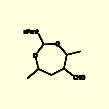 CCCCCC1OC(C)CC(C=O)C(C)O1